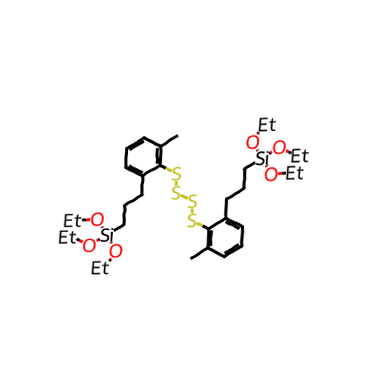 CCO[Si](CCCc1cccc(C)c1SSSSc1c(C)cccc1CCC[Si](OCC)(OCC)OCC)(OCC)OCC